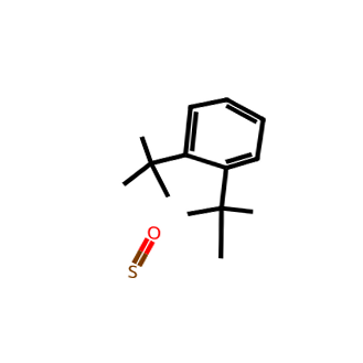 CC(C)(C)c1ccccc1C(C)(C)C.O=S